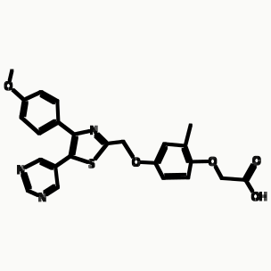 COc1ccc(-c2nc(COc3ccc(OCC(=O)O)c(C)c3)sc2-c2cncnc2)cc1